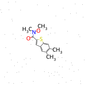 CON(C)C(=O)c1cc2cc(C)c(C)cc2s1